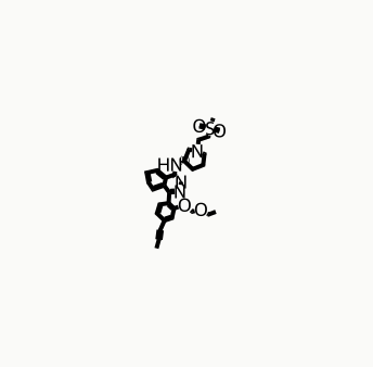 CC#Cc1ccc(-c2nnc(N[C@@H]3CCCN(CCS(C)(=O)=O)C3)c3ccccc23)c(OCOCC)c1